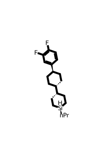 CCC[Si@H]1CC[C@H]([C@H]2CC[C@H](c3ccc(F)c(F)c3)CC2)CC1